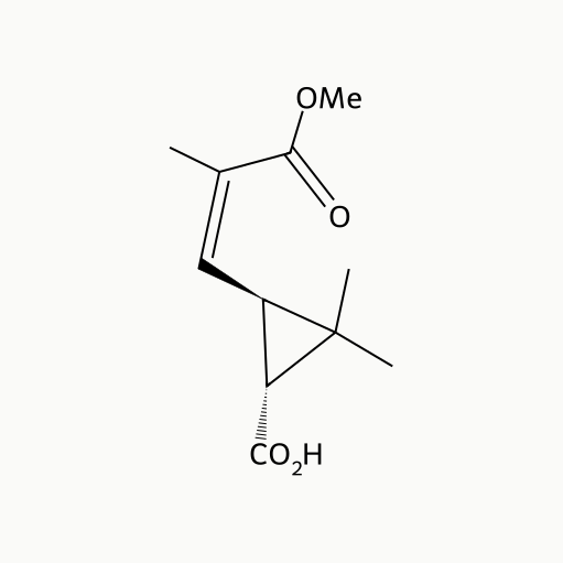 COC(=O)C(C)=C[C@@H]1[C@@H](C(=O)O)C1(C)C